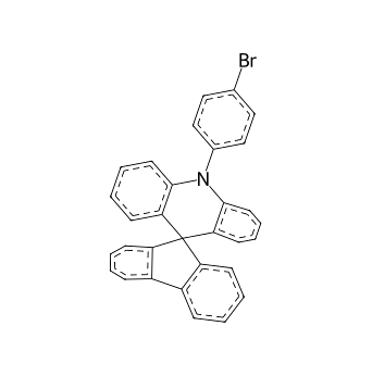 Brc1ccc(N2c3ccccc3C3(c4ccccc4-c4ccccc43)c3ccccc32)cc1